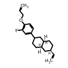 C=CCOc1ccc(C2CC[C@@H]3C[C@H](C=C)CC[C@@H]3C2)cc1F